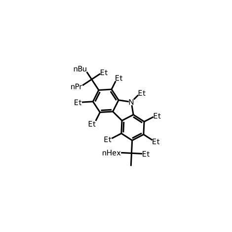 CCCCCCC(C)(CC)c1c(CC)c(CC)c2c(c1CC)c1c(CC)c(CC)c(C(CC)(CCC)CCCC)c(CC)c1n2CC